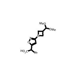 COC(OC)C1CN(c2cc(C(C(=O)O)C(C)C)on2)C1